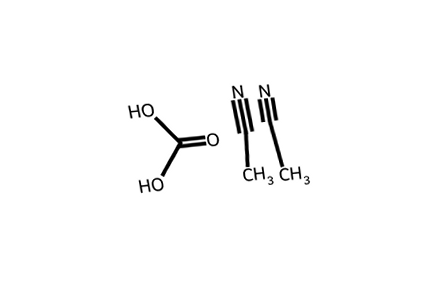 CC#N.CC#N.O=C(O)O